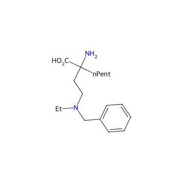 CCCCCC(N)(CCN(CC)Cc1ccccc1)C(=O)O